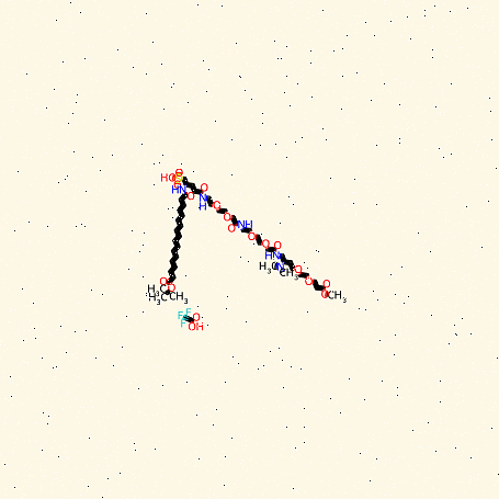 COC(=O)CCOCCOCCC(CNC(=O)COCCOCCNC(=O)COCCOCCNC(=O)CCC(CS(=O)(=O)O)NC(=O)CCCCCCCCCCCCCCCCC(=O)OC(C)(C)C)N(C)C.O=C(O)C(F)(F)F